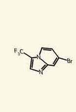 FC(F)(F)c1cnc2cc(Br)ccn12